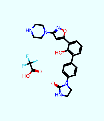 O=C(O)C(F)(F)F.O=C1NCCN1c1ccc(-c2cccc(-c3cc(N4CCNCC4)no3)c2O)cc1